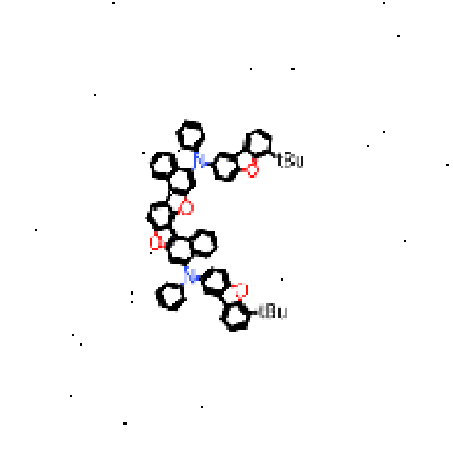 CC(C)(C)c1cccc2c1oc1ccc(N(c3ccccc3)c3cc4oc5c(ccc6oc7cc(N(c8ccccc8)c8ccc9oc%10c(C(C)(C)C)cccc%10c9c8)c8ccccc8c7c65)c4c4ccccc34)cc12